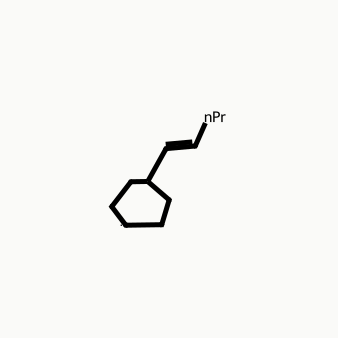 CCCC=CC1CC[CH]CC1